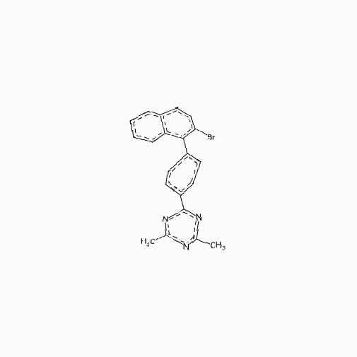 Cc1nc(C)nc(-c2ccc(-c3c(Br)ccc4ccccc34)cc2)n1